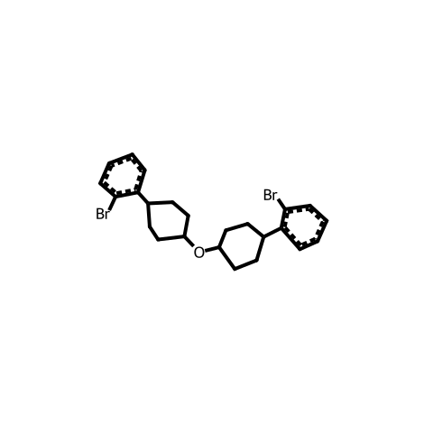 Brc1ccccc1C1CCC(OC2CCC(c3ccccc3Br)CC2)CC1